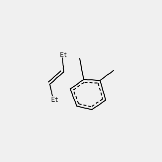 CCC=CCC.Cc1ccccc1C